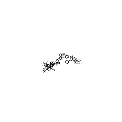 CCCN(CC(=O)Nc1ccc(COC(=O)NC2(c3ccc(-c4nc5ccn6c(=O)[nH]nc6c5cc4-c4ccccc4)cc3)CCC2)cc1)C(=O)[C@@H](C)NC(=O)c1ccncc1